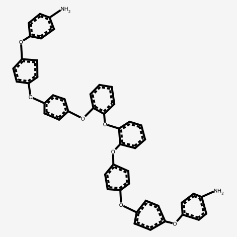 Nc1ccc(Oc2ccc(Oc3ccc(Oc4ccccc4Oc4ccccc4Oc4ccc(Oc5ccc(Oc6ccc(N)cc6)cc5)cc4)cc3)cc2)cc1